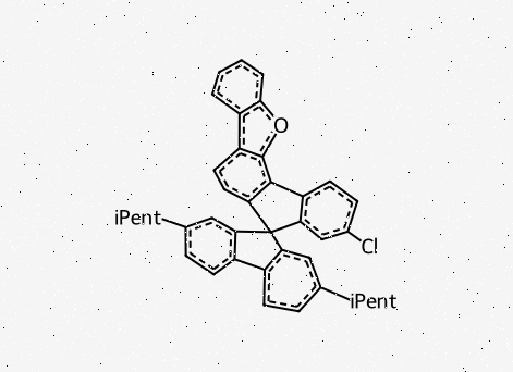 CCCC(C)c1ccc2c(c1)C1(c3cc(C(C)CCC)ccc3-2)c2cc(Cl)ccc2-c2c1ccc1c2oc2ccccc21